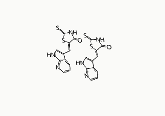 O=C1NC(=S)SC1=Cc1c[nH]c2ncccc12.O=C1NC(=S)SC1=Cc1c[nH]c2ncccc12